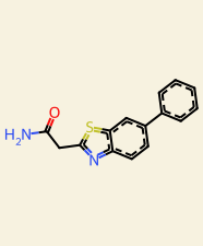 NC(=O)Cc1nc2ccc(-c3ccccc3)cc2s1